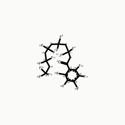 O=C(CC(F)(F)CC(F)(F)CC(F)(F)CC(F)(F)CC(F)(F)F)c1c(F)c(F)c(F)c(F)c1F